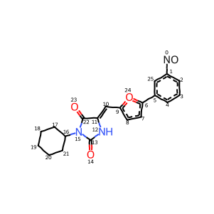 O=Nc1cccc(-c2ccc(/C=C3\NC(=O)N(C4CCCCC4)C3=O)o2)c1